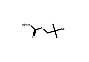 CCCCCC(=O)OCC(C)(C)N